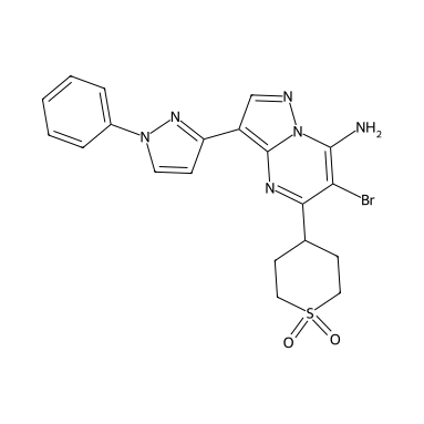 Nc1c(Br)c(C2CCS(=O)(=O)CC2)nc2c(-c3ccn(-c4ccccc4)n3)cnn12